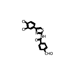 O=Cc1ccc(C(=O)Nc2nc(-c3ccc(Cl)c(Cl)c3)cs2)cc1